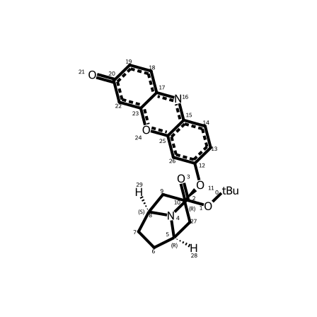 CC(C)(C)OC(=O)N1[C@@H]2CC[C@H]1C[C@@H](Oc1ccc3nc4ccc(=O)cc-4oc3c1)C2